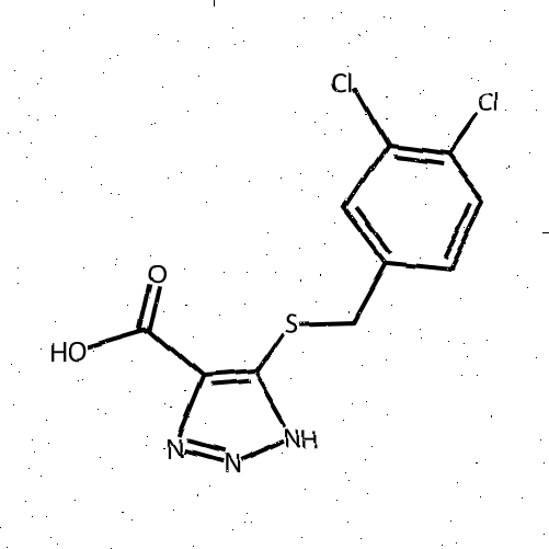 O=C(O)c1nn[nH]c1SCc1ccc(Cl)c(Cl)c1